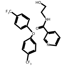 FC(F)(F)c1ccc(Oc2ccc(C(F)(F)F)cc2)cc1.O=C(NCCO)c1cccnc1